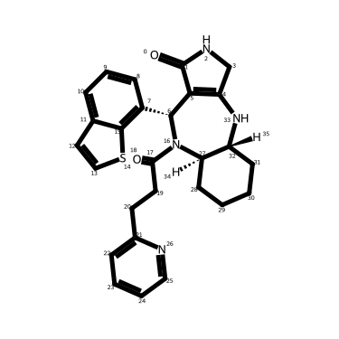 O=C1NCC2=C1[C@@H](c1cccc3ccsc13)N(C(=O)CCc1ccccn1)[C@@H]1CCCC[C@H]1N2